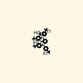 CCC(C)(C)c1ccc(N(c2ccc(C(C)(C)CC)cc2)c2cccc(N(c3ccc(C(C)(C)CC)cc3)c3ccc(C(C)(C)CC)cc3B(O)O)c2Cl)cc1